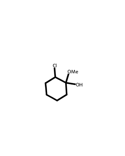 COC1(O)CCCCC1Cl